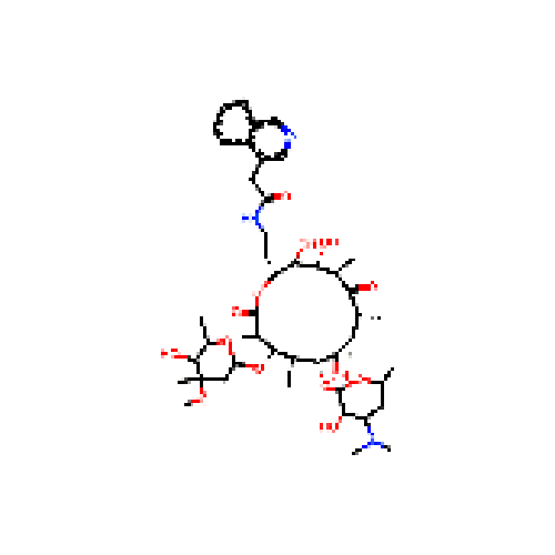 COC1(C)CC(O[C@H]2[C@H](C)[C@@H](OC3OC(C)CC(N(C)C)C3O)[C@](C)(O)C[C@@H](C)C(=O)[C@H](C)[C@@H](O)[C@](C)(O)[C@@H](CCNC(=O)Cc3cncc4ccccc34)OC(=O)[C@@H]2C)OC(C)C1O